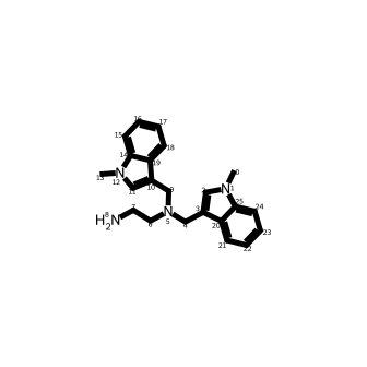 Cn1cc(CN(CCN)Cc2cn(C)c3ccccc23)c2ccccc21